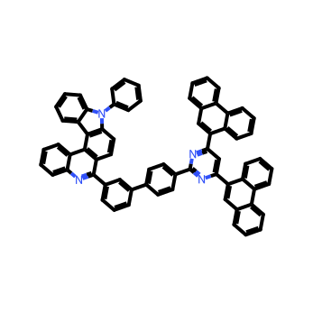 c1ccc(-n2c3ccccc3c3c4c(ccc32)c(-c2cccc(-c3ccc(-c5nc(-c6cc7ccccc7c7ccccc67)cc(-c6cc7ccccc7c7ccccc67)n5)cc3)c2)nc2ccccc24)cc1